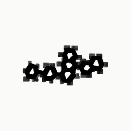 c1ccc(-c2ccc(-c3cccc4c(-c5ccc6ccccc6c5)c5ccccc5cc34)cc2)cc1